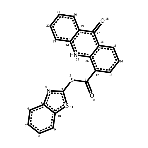 O=C(Sc1nc2ccccc2s1)c1cccc2c(=O)c3ccccc3[nH]c12